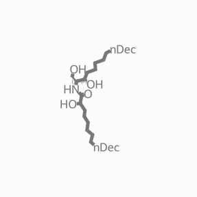 CCCCCCCCCCCCCCCCC(O)C(=O)N[C@@H](CO)[C@H](O)CCCCCCCCCCCCCCC